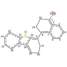 BrC1=c2ccccc2=C(C2=c3sc4ccccc4c3=CCC2)CC1